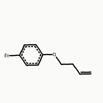 C=CCCOc1ccc(CC)cc1